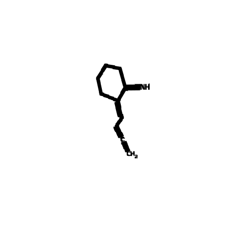 C=C=C/C=C1\CCCCC1=N